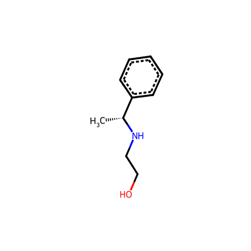 C[C@@H](NCCO)c1ccccc1